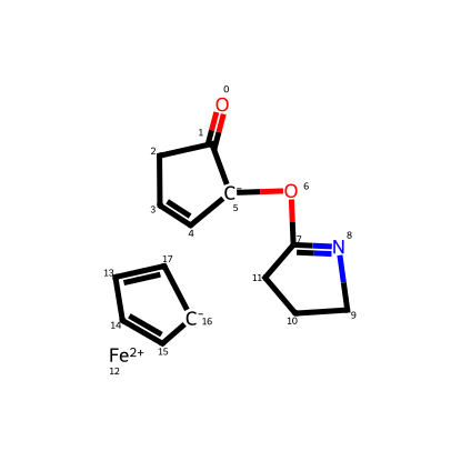 O=C1CC=C[C-]1OC1=NCCC1.[Fe+2].c1cc[cH-]c1